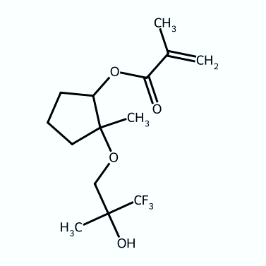 C=C(C)C(=O)OC1CCCC1(C)OCC(C)(O)C(F)(F)F